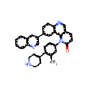 O=c1ccc2cnc3ccc(-c4cnc5ccccc5c4)cc3c2n1-c1ccc(C2=CCNCC2)c(C(F)(F)F)c1